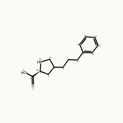 O=C(O)[C@@H]1CC(CCCc2ccccc2)CN1